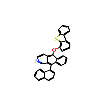 c1ccc2c(-c3c4ccccc4c(Oc4cccc5c4sc4ccccc45)c4ccncc34)cccc2c1